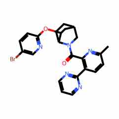 Cc1ccc(-c2ncccn2)c(C(=O)N2CC3CCC2C(Oc2ccc(Br)cn2)C3)n1